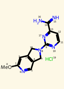 COc1cc2c(cn1)CN(c1nccc(C(=N)N)n1)C2.Cl